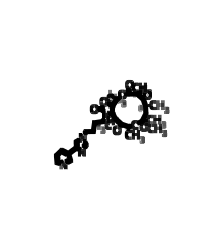 CO[C@]1(C)C[C@@H](C)C(=O)[C@H](C)[C@H]2N(CCCCn3cnc(-c4cccnc4)c3)C(=O)O[C@]2(C)[C@@H](I)OC(=O)[C@@](C)(F)C(=O)[C@H](C)C1